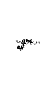 COc1cnc(-n2ccc(COC(=O)CC(C)(C)C(=O)O)n2)c2[nH]cc(C(=O)C(=O)N3CCN(C(=O)c4ccccc4)C(C)C3)c12